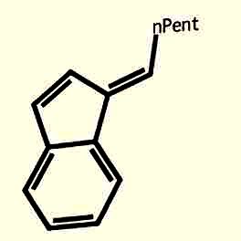 CCCCCC=C1C=Cc2ccccc21